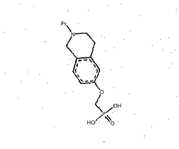 CC(C)N1CCc2cc(OCP(=O)(O)O)ccc2C1